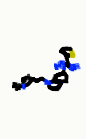 CN(C)CCCCn1ccc2ccc(NC(=N)c3cccs3)cc21